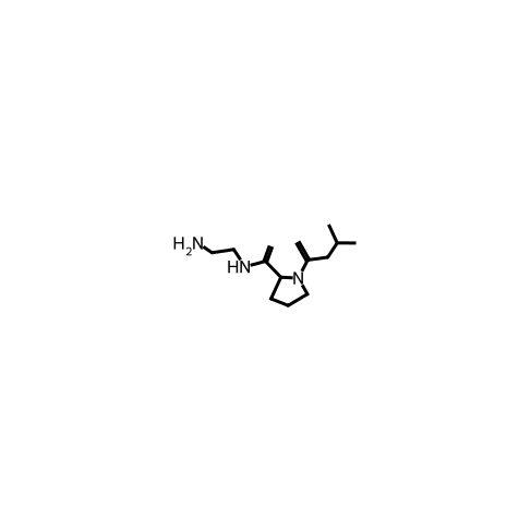 C=C(NCCN)C1CCCN1C(=C)CC(C)C